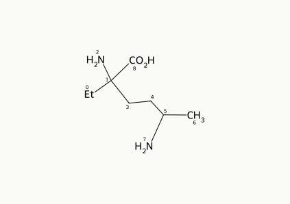 CCC(N)(CCC(C)N)C(=O)O